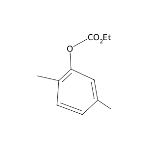 C[CH]OC(=O)Oc1cc(C)ccc1C